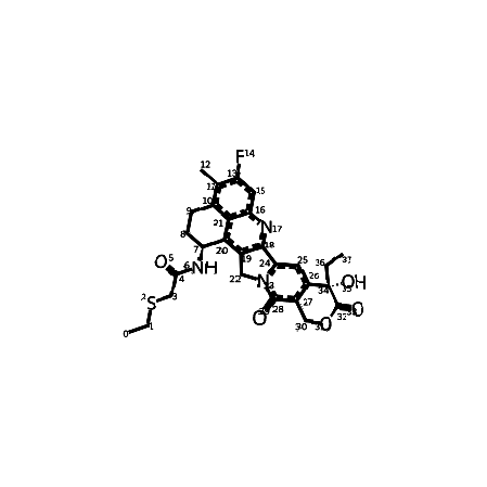 CCSCC(=O)N[C@H]1CCc2c(C)c(F)cc3nc4c(c1c23)Cn1c-4cc2c(c1=O)COC(=O)[C@]2(O)CC